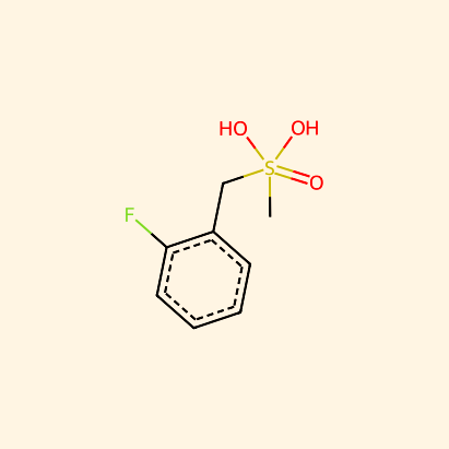 CS(=O)(O)(O)Cc1ccccc1F